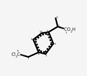 CC(C(=O)O)c1ccc(CC(Cl)(Cl)Cl)cc1